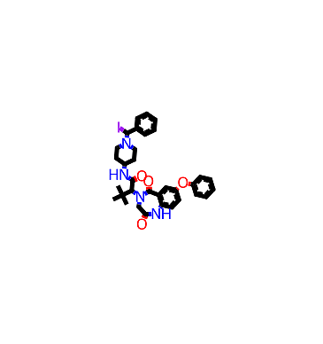 CC(C)(C)C(C(=O)NC1CCN(C(I)c2ccccc2)CC1)N1CC(=O)Nc2ccc(Oc3ccccc3)cc2C1=O